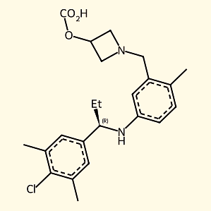 CC[C@@H](Nc1ccc(C)c(CN2CC(OC(=O)O)C2)c1)c1cc(C)c(Cl)c(C)c1